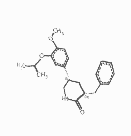 COc1ccc([C@H]2CNC(=O)[C@@H](Cc3ccccc3)C2)cc1OC(C)C